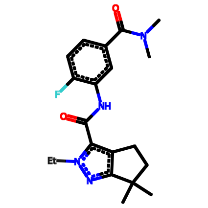 CCn1nc2c(c1C(=O)Nc1cc(C(=O)N(C)C)ccc1F)CCC2(C)C